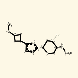 O=C(O)N[C@H]1CO[C@H](c2nnc(C3CC(OC(F)(F)F)C3)o2)C[C@@H]1F